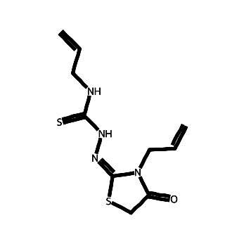 C=CCNC(=S)NN=C1SCC(=O)N1CC=C